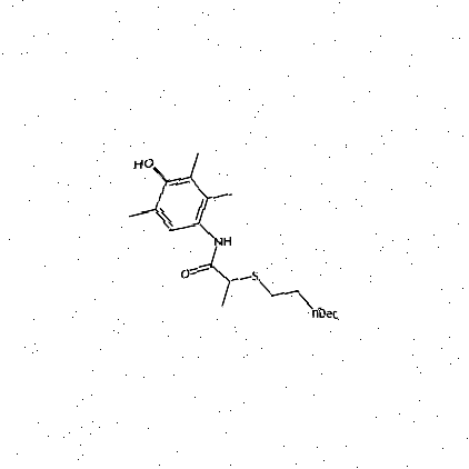 CCCCCCCCCCCCSC(C)C(=O)Nc1cc(C)c(O)c(C)c1C